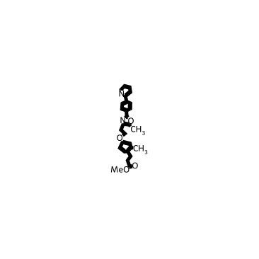 COC(=O)CCc1ccc(OCCc2nc(-c3ccc(-c4ccccn4)cc3)oc2C)cc1C